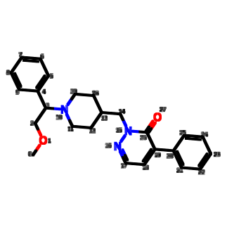 COCC(c1ccccc1)N1CCC(Cn2nccc(-c3ccccc3)c2=O)CC1